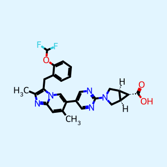 Cc1cc2nc(C)c(Cc3ccccc3OC(F)F)n2cc1-c1cnc(N2C[C@@H]3[C@H](C2)[C@H]3C(=O)O)nc1